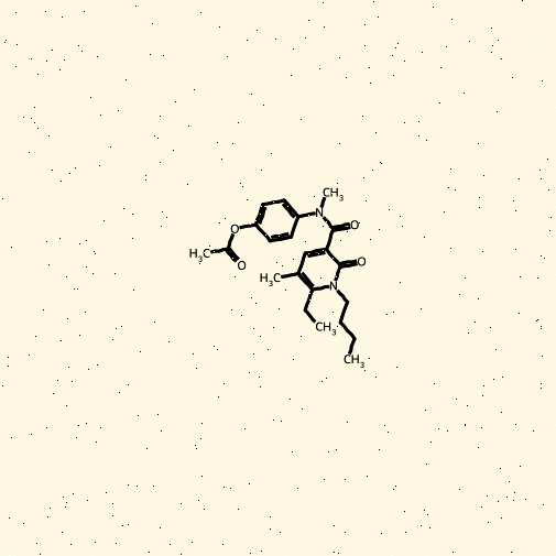 CCCCn1c(CC)c(C)cc(C(=O)N(C)c2ccc(OC(C)=O)cc2)c1=O